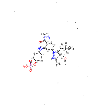 Cc1nn(-c2ccc(C(N)=O)c(N[C@H]3CC[C@H](OP(=O)([O-])O)CC3)c2)c2c1C(=O)CC(C)(C)C2.[Na+]